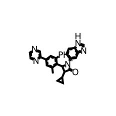 Cc1cc(-c2cnccn2)cc(P)c1C1C(C2CC2)C(=O)N1c1ccc2[nH]cnc2c1